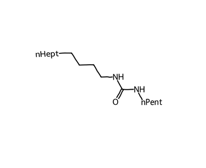 CCCCCCCCCCCNC(=O)NCCCCC